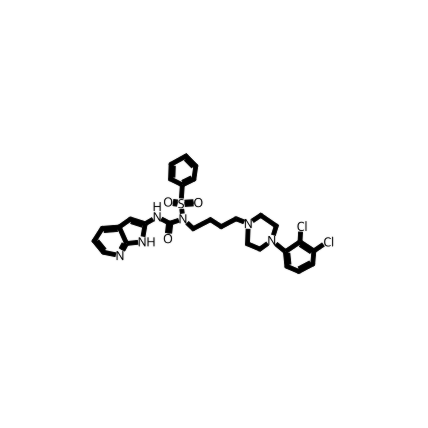 O=C(Nc1cc2cccnc2[nH]1)N(CCCCN1CCN(c2cccc(Cl)c2Cl)CC1)S(=O)(=O)c1ccccc1